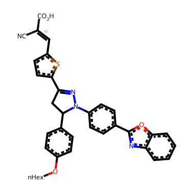 CCCCCCOc1ccc(C2CC(c3ccc(/C=C(\C#N)C(=O)O)s3)=NN2c2ccc(-c3nc4ccccc4o3)cc2)cc1